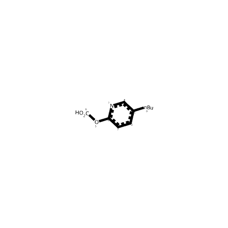 CCCCc1ccc(OC(=O)O)nc1